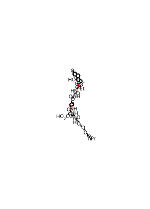 CCCOCCOCCOCCOCCC(=O)NCC(=O)N[C@@H](CCC(=O)O)C(=O)Nc1ccc(COC(=O)NCC(=O)NCOCC(=O)[C@@]2(OC(=O)CC)[C@@H](C)CC3C4CCC5=CC(=O)C=C[C@]5(C)[C@@]4(Cl)[C@@H](O)C[C@@]32C)cc1